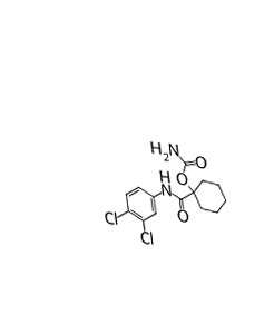 NC(=O)OC1(C(=O)Nc2ccc(Cl)c(Cl)c2)CCCCC1